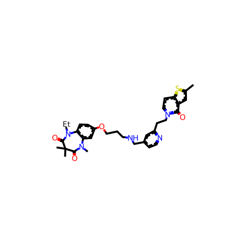 CCN1C(=O)C(C)(C)C(=O)N(C)c2cc(OCCCNCc3ccnc(CCn4ccc5sc(C)cc5c4=O)c3)ccc21